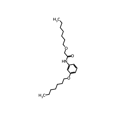 CCCCCCCOCC(=O)Nc1cccc(OCCCCCCC)c1